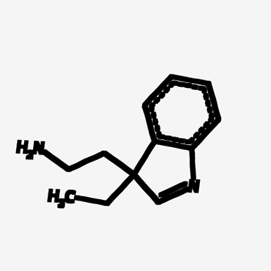 CCC1(CCN)C=Nc2ccccc21